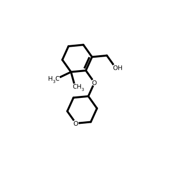 CC1(C)CCCC(CO)=C1OC1CCOCC1